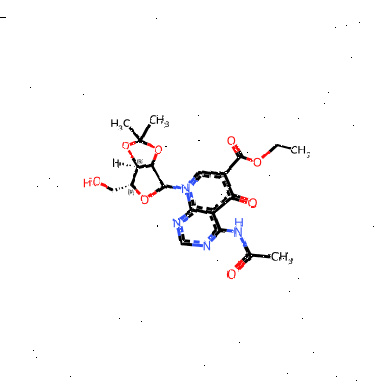 CCOC(=O)c1cn(C2O[C@H](CO)[C@H]3OC(C)(C)OC23)c2ncnc(NC(C)=O)c2c1=O